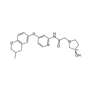 CC1COc2ccc(Oc3ccnc(NC(=O)CN4CC[C@@H](O)C4)c3)cc2C1